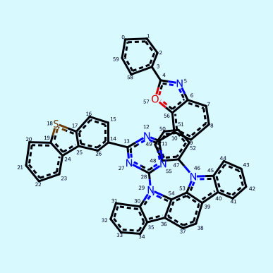 c1ccc(-c2nc3cccc(-c4nc(-c5ccc6sc7ccccc7c6c5)nc(-n5c6ccccc6c6ccc7c8ccccc8n(-c8ccccc8)c7c65)n4)c3o2)cc1